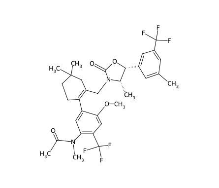 COc1cc(C(F)(F)F)c(N(C)C(C)=O)cc1C1=C(CN2C(=O)O[C@H](c3cc(C)cc(C(F)(F)F)c3)[C@@H]2C)CC(C)(C)CC1